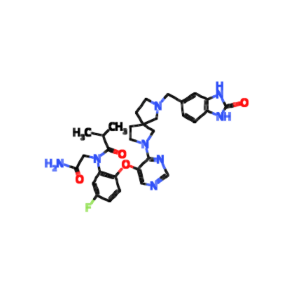 CC(C)C(=O)N(CC(N)=O)c1cc(F)ccc1Oc1cncnc1N1CCC2(CCN(Cc3ccc4[nH]c(=O)[nH]c4c3)C2)C1